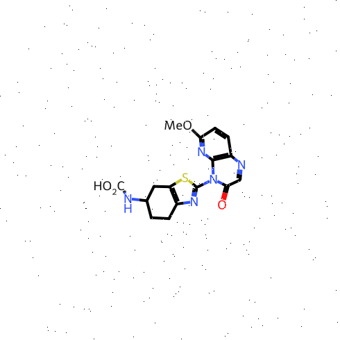 COc1ccc2ncc(=O)n(-c3nc4c(s3)CC(NC(=O)O)CC4)c2n1